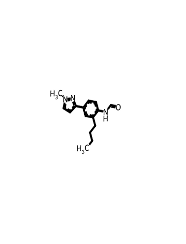 CCCCc1cc(-c2ccn(C)n2)ccc1NC=O